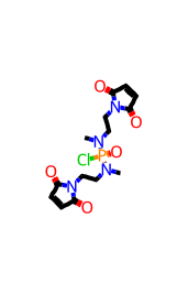 CN(CCN1C(=O)C=CC1=O)P(=O)(Cl)N(C)CCN1C(=O)C=CC1=O